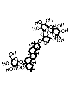 CC1(C)CC[C@]2(C(=O)O[C@@H]3O[C@H](CO)[C@@H](O)[C@H](O)[C@H]3O)CC[C@]3(C)C(=CC[C@@H]4[C@@]5(C)CC[C@H](O[C@@H]6OC[C@H](O)[C@H](O[C@@H]7O[C@H](CO)[C@@H](O)[C@H](O)[C@H]7O)[C@H]6O[C@@H]6OC[C@@H](O)[C@H](O)[C@H]6O)C(C)(C)[C@@H]5CC[C@]43C)[C@@H]2C1